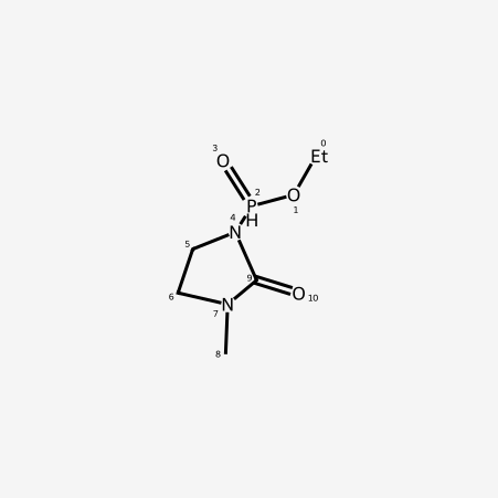 CCO[PH](=O)N1CCN(C)C1=O